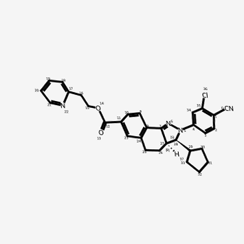 N#Cc1ccc(N2N=C3c4ccc(C(=O)OCCc5ccccn5)cc4CC[C@@H]3[C@@H]2C2CCCC2)cc1Cl